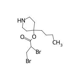 CCCCC1(OC(=O)C(Br)CBr)CCNCC1